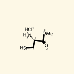 COC(=O)[C@@H](N)CS.Cl